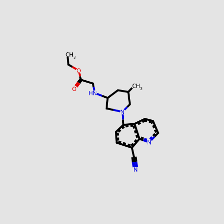 CCOC(=O)CNC1CC(C)CN(c2ccc(C#N)c3ncccc23)C1